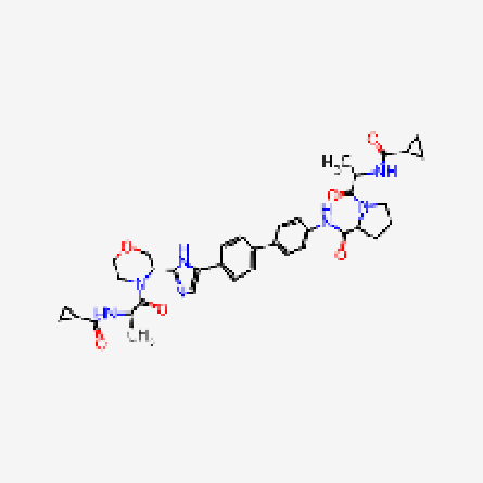 C[C@@H](NC(=O)C1CC1)C(=O)N1CCC[C@H]1C(=O)Nc1ccc(-c2ccc(-c3cnc([C@@H]4COCCN4C(=O)[C@@H](C)NC(=O)C4CC4)[nH]3)cc2)cc1